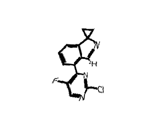 [2H]C1=NC2(CC2)c2cccc(-c3nc(Cl)ncc3F)c21